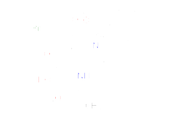 CC(=O)NC(C(=O)O)C(C(=O)CBr)N1CCc2ccccc2C1=O